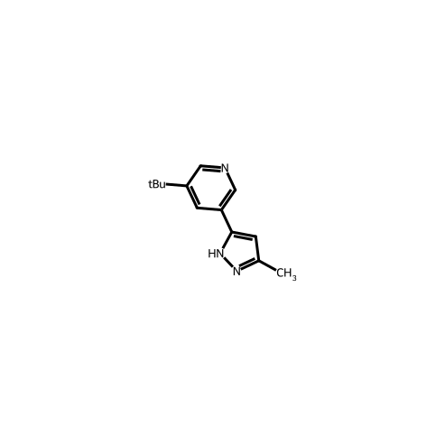 Cc1cc(-c2cncc(C(C)(C)C)c2)[nH]n1